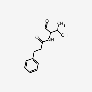 C[C@H](O)[C@H](C=O)NC(=O)CCc1ccccc1